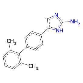 Cc1cccc(C)c1-c1ccc(-c2[c]nc(N)[nH]2)cc1